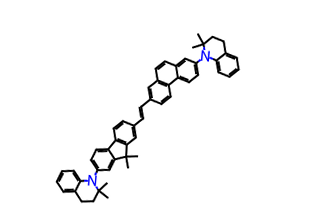 CC1(C)c2cc(/C=C/c3ccc4c(ccc5cc(N6c7ccccc7CCC6(C)C)ccc54)c3)ccc2-c2ccc(N3c4ccccc4CCC3(C)C)cc21